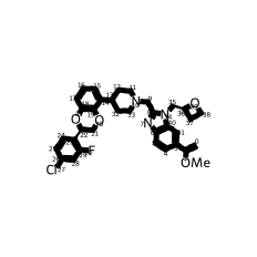 C=C(OC)c1ccc2nc(CN3CCC(c4cccc5c4OC[C@@H](c4ccc(Cl)cc4F)O5)CC3)n(C[C@@H]3CCO3)c2c1